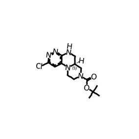 CC(C)(C)OC(=O)N1CCN2c3cc(Cl)nnc3NC[C@H]2C1